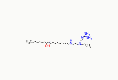 CCCCCCCC(O)/C=C/CCCCCCCCNCCCN(CCC)CCN=C(N)N